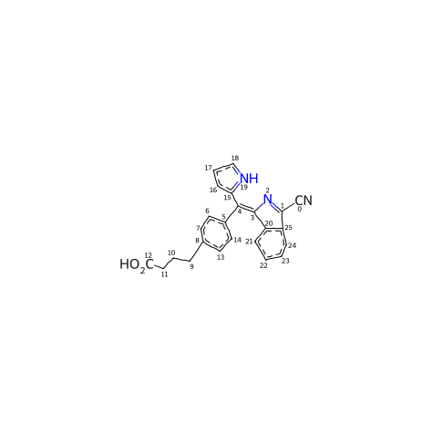 N#CC1=N/C(=C(/c2ccc(CCCC(=O)O)cc2)c2ccc[nH]2)c2ccccc21